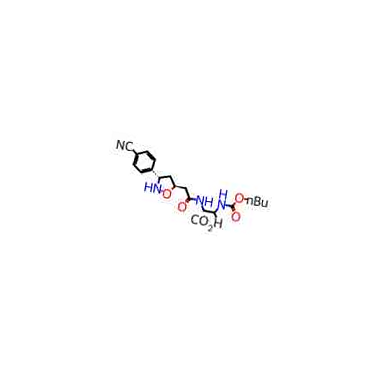 CCCCOC(=O)NC(CNC(=O)C[C@@H]1C[C@@H](c2ccc(C#N)cc2)NO1)C(=O)O